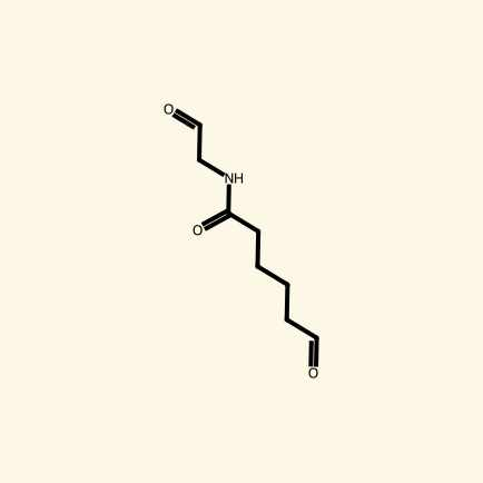 O=CCCCCC(=O)NCC=O